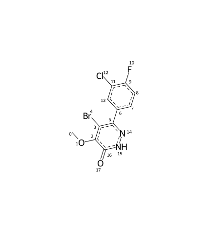 COc1c(Br)c(-c2ccc(F)c(Cl)c2)n[nH]c1=O